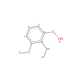 CCc1cccc(CO)c1CC